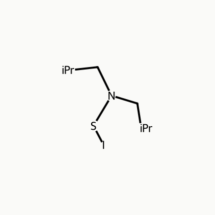 CC(C)CN(CC(C)C)SI